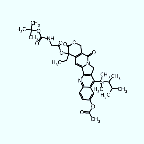 CCC1(OC(=O)CNC(=O)OC(C)(C)C)C(=O)OCc2c1cc1n(c2=O)Cc2c-1nc1ccc(OC(C)=O)cc1c2[Si](C)(C)C(C)C(C)C